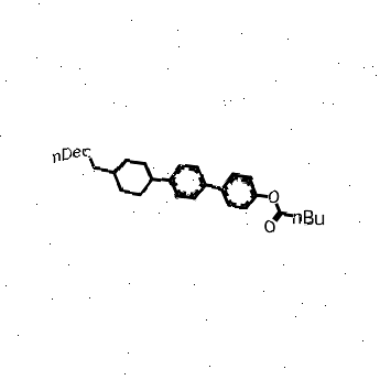 CCCCCCCCCCCC1CCC(c2ccc(-c3ccc(OC(=O)CCCC)cc3)cc2)CC1